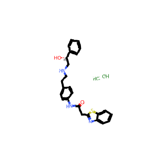 Cl.Cl.O=C(Cc1nc2ccccc2s1)Nc1ccc(CCNC[C@H](O)c2ccccc2)cc1